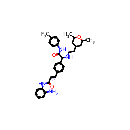 CC1CC(CCNC(C(=O)Nc2ccc(C(F)(F)F)cc2)c2ccc(/C=C/C(=O)Nc3ccccc3N)cc2)CC(C)O1